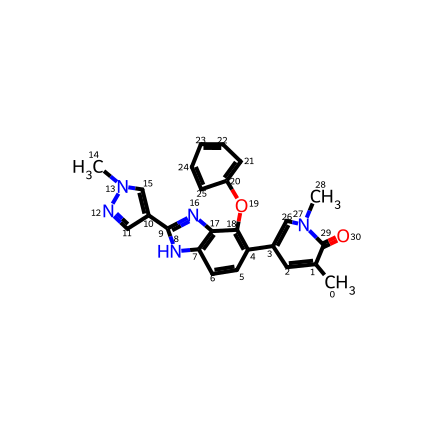 Cc1cc(-c2ccc3[nH]c(-c4cnn(C)c4)nc3c2Oc2ccccc2)cn(C)c1=O